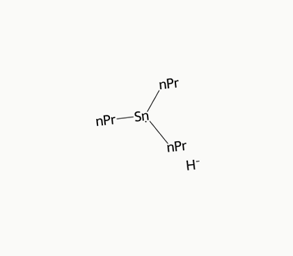 CC[CH2][Sn]([CH2]CC)[CH2]CC.[H-]